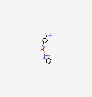 CNC(=O)c1ccc(CNC(=O)OCc2nc3ccccc3[nH]2)cc1